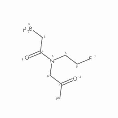 BCC(=O)N(CCF)CC(C)=O